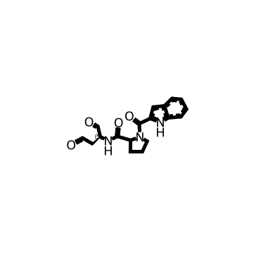 O=CC[C@@H](C=O)NC(=O)C1CCCN1C(=O)c1cc2ccccc2[nH]1